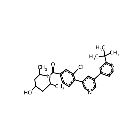 CC1CC(O)CC(C)N1C(=O)c1ccc(-c2cncc(-c3ccnc(C(C)(C)C)c3)c2)c(Cl)c1